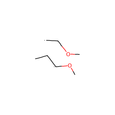 CC[CH]OC.[CH2]COC